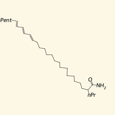 CCCCCC=CC=CC=CCCCCCCCCCCCCCCC(CCC)C(N)=O